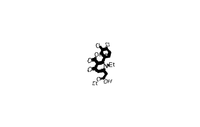 CCOC(O)Cc1cc(=O)c(C(=O)OC)c(-c2ccc(Cl)c(Cl)c2)n1CC